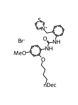 CCCCCCCCCCCCCCOc1cc(OC)ccc1NC(=O)Nc1ccccc1C[n+]1ccsc1.[Br-]